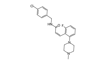 CN1CCN(c2cccc(F)c2/C=C\C(=O)NCc2ccc(Cl)cc2)CC1